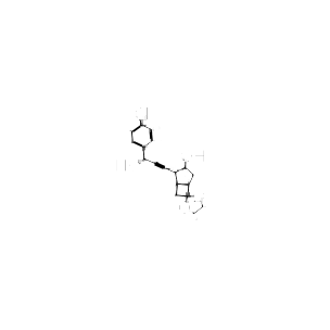 OC(C#CC1C(O)CC2C1CC21OCCO1)c1ccc(Cl)cc1